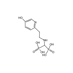 O=P(O)(O)C(NCCc1ccc(O)cn1)P(=O)(O)O